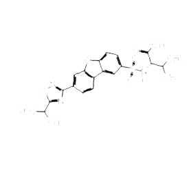 CC(C)c1nc(-c2ccc3c(c2)oc2ccc(S(=O)(=O)N[C@@H](C(=O)O)C(C)C)cc23)no1